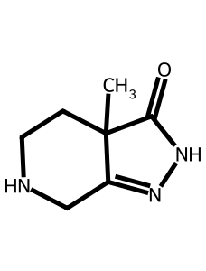 CC12CCNCC1=NNC2=O